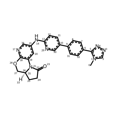 Cn1cnnc1-c1ccc(-c2ccc(Nc3cnc4c(c3)N3C(=O)CC[C@H]3CO4)nc2)cc1